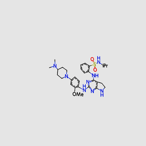 COc1cc(N2CCC(N(C)C)CC2)ccc1Nc1nc2c(c(Nc3ccccc3S(=O)(=O)NC(C)C)n1)CCN2